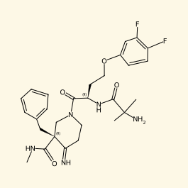 CNC(=O)[C@]1(Cc2ccccc2)CN(C(=O)[C@@H](CCOc2ccc(F)c(F)c2)NC(=O)C(C)(C)N)CCC1=N